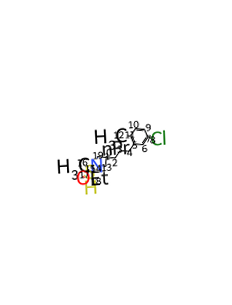 CCCC1(CCCc2cc(Cl)ccc2C)CN([SH](C)(=O)CC)C1